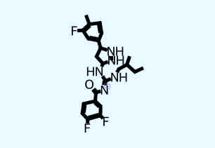 CCC(C)CN/C(=N/C(=O)c1ccc(F)c(F)c1)NC1CC(c2ccc(C)c(F)c2)NN1